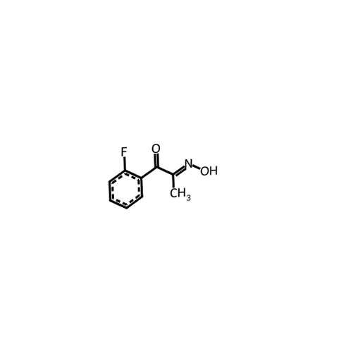 C/C(=N\O)C(=O)c1ccccc1F